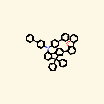 c1ccc(-c2ccc(N(c3ccc(-c4ccccc4)cc3)c3cccc4c3-c3ccc(-c5cccc6c5oc5ccccc56)cc3C4(c3ccccc3)c3ccccc3)cc2)cc1